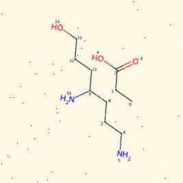 CCC(=O)O.NCCCC(N)CCCO